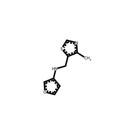 Cc1ncsc1CNc1ccoc1